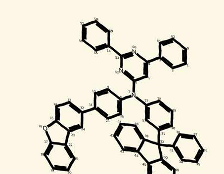 c1ccc(-c2cc(N(c3ccc(-c4ccc5oc6ccccc6c5c4)cc3)c3cccc(C4(c5ccccc5)c5ccccc5-c5ccccc54)c3)nc(-c3ccccc3)n2)cc1